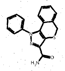 NC(=O)c1nn(-c2ccccc2)c2c1SCc1ccccc1-2